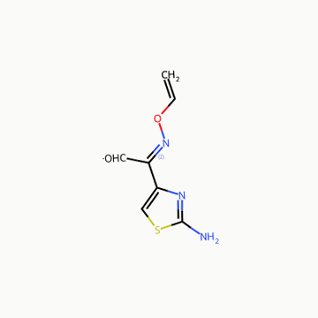 C=CO/N=C(\[C]=O)c1csc(N)n1